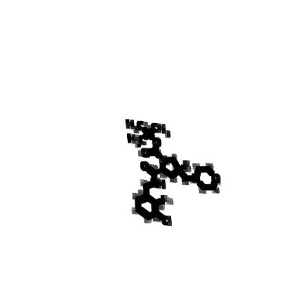 CC(C)(C)OC(=O)N1C[C@](F)(CN2CCOCC2)C[C@H]1C(=O)NCc1cccc(Cl)c1F